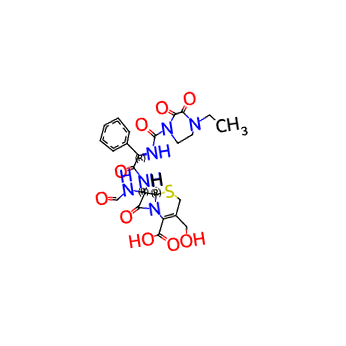 CCN1CCN(C(=O)N[C@@H](C(=O)N[C@]2(NC=O)C(=O)N3C(C(=O)O)=C(CO)CS[C@@H]32)c2ccccc2)C(=O)C1=O